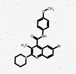 COc1c[c]c(NC(=O)c2c(C)c(N3CCCCC3)nc3ccc(Br)cc23)cc1